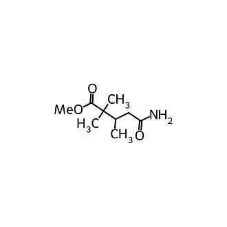 COC(=O)C(C)(C)C(C)CC(N)=O